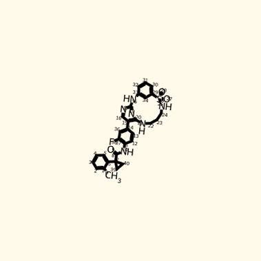 Cc1ccccc1C1(C(=O)Nc2ccc(-c3cnc4nc3NCCCNS(=O)(=O)c3cccc(c3)N4)cc2F)CC1